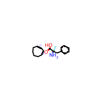 C1=C\CCCC\C=C/1.N[C@@](F)(Cc1ccccc1)C(=O)O